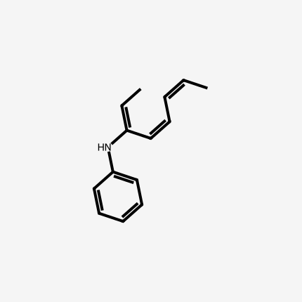 C\C=C/C=C\C(=C/C)Nc1ccccc1